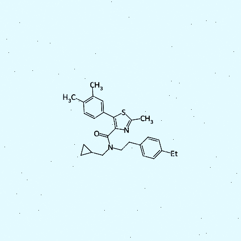 CCc1ccc(CCN(CC2CC2)C(=O)c2nc(C)sc2-c2ccc(C)c(C)c2)cc1